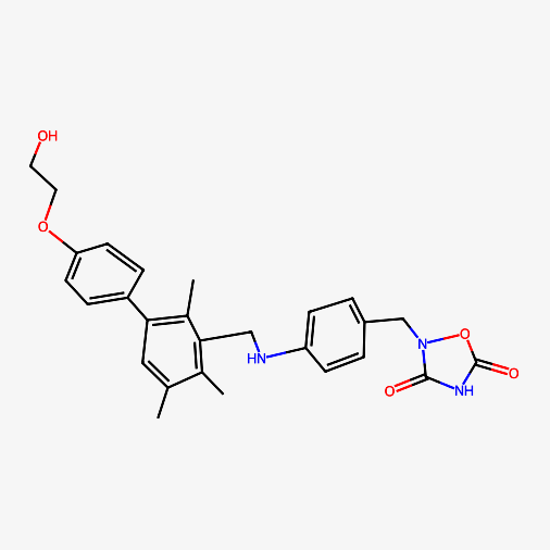 Cc1cc(-c2ccc(OCCO)cc2)c(C)c(CNc2ccc(Cn3oc(=O)[nH]c3=O)cc2)c1C